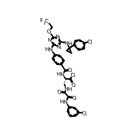 O=C(NC[C@H](NC(=O)c1ccc(Nc2nc(NC3(c4ccc(Cl)cc4)CC3)nc(OCC(F)(F)F)n2)cc1)C(=O)Cl)C(=O)Nc1cccc(Cl)c1